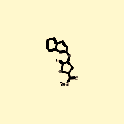 COC(=O)C1CC(Sc2ccc3ccccc3c2)C(=O)N1